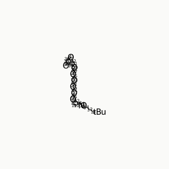 CC(C)(C)CCCCCO/N=C/c1cccc(OCCOCCOCCOCCOCCOc2ccc3c(c2)C(=O)C=CC3=O)c1